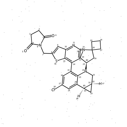 O=C1CCC(=O)N1Cc1cc2nccc(-c3cc(Cl)cc4c3N([C@H]3CNC5(CCC5)C3)C[C@H]3C[C@@H]43)c2s1